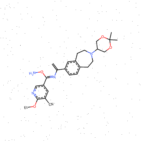 C=C(/N=C(\ON)c1cnc(OCC)c(C#N)c1)c1ccc2c(c1)CCN(C1COC(C)(C)OC1)CC2